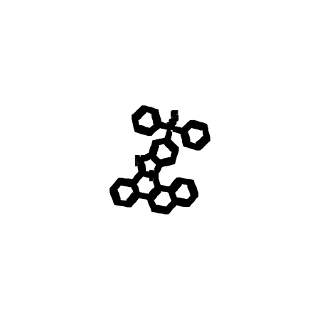 S=P(c1ccccc1)(c1ccccc1)c1ccc2c(c1)nc1c3ccccc3c3ccc4ccccc4c3n21